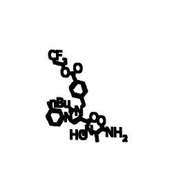 CCCCc1ncc(C(=O)N(O)C(C)C(N)=O)n1Cc1ccc(C(=O)OCCC(F)(F)F)cc1.Cc1ccccc1